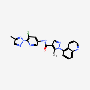 Cc1cnn(-c2ncc(NC(=O)c3cnn(-c4cccc5ncccc45)c3C(F)(F)F)cc2Cl)n1